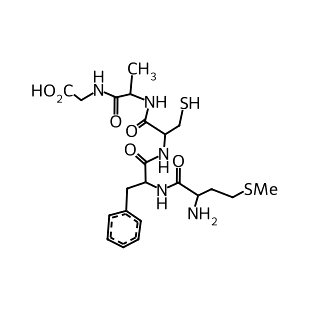 CSCCC(N)C(=O)NC(Cc1ccccc1)C(=O)NC(CS)C(=O)NC(C)C(=O)NCC(=O)O